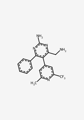 Cc1cc(-c2c(CN)nc(N)nc2-c2ccccc2)cc(C(F)(F)F)n1